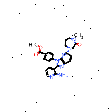 COC(=O)c1ccc(-n2c(-c3cccnc3N)nc3ccc(N4CCCN(C)C(=O)C4)nc32)cc1